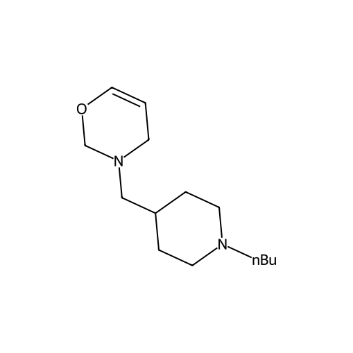 CCCCN1CCC(CN2CC=COC2)CC1